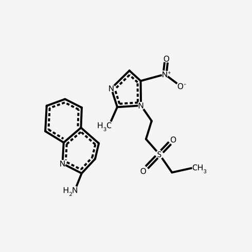 CCS(=O)(=O)CCn1c([N+](=O)[O-])cnc1C.Nc1ccc2ccccc2n1